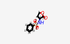 O=C1OCCC1NS(=O)(=O)c1ccccc1